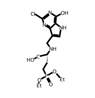 CCOP(=O)(CC[C@H](CO)NCc1c[nH]c2c(O)nc(Cl)nc12)OCC